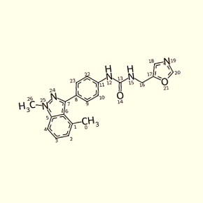 Cc1cccc2c1c(-c1ccc(NC(=O)NCc3cnco3)cc1)nn2C